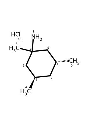 C[C@@H]1C[C@@H](C)CC(C)(N)C1.Cl